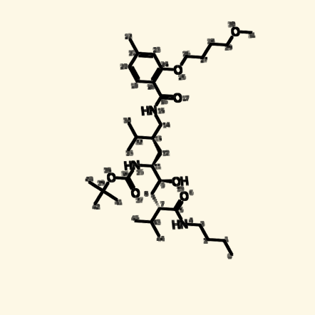 CCCCNC(=O)[C@@H](C[C@H](O)[C@H](C[C@H](CNC(=O)c1ccc(C)cc1OCCCCOC)C(C)C)NC(=O)OC(C)(C)C)C(C)C